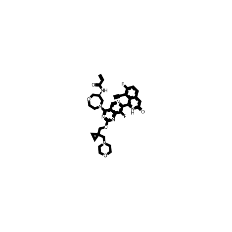 C#Cc1c(F)ccc2cc(=O)[nH]c(-c3ncc4c(N5CCOC[C@@H](NC(=O)C=C)C5)nc(OCC5(CN6CCOCC6)CC5)nc4c3F)c12